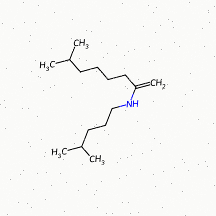 C=C(CCCCC(C)C)NCCCC(C)C